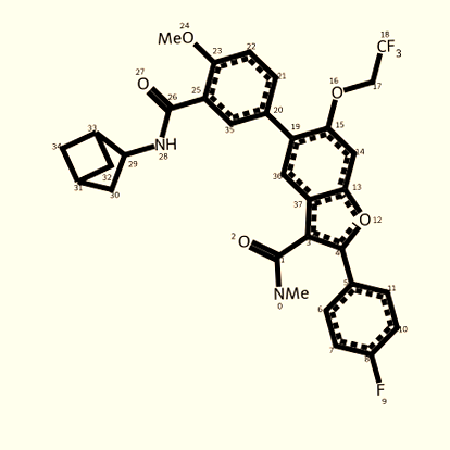 CNC(=O)c1c(-c2ccc(F)cc2)oc2cc(OCC(F)(F)F)c(-c3ccc(OC)c(C(=O)NC4CC5CC4C5)c3)cc12